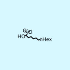 CCCCCCCCCCCC(O)[S+]([O-])Cl